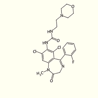 CN1C(=O)CN=C(c2ccccc2F)c2c1cc(Cl)c(NC(=O)NCCN1CCOCC1)c2Cl